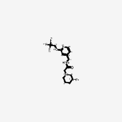 O=C(CN1CCC[C@@H](F)C1)NCc1ccnc(OCC(F)(F)F)c1